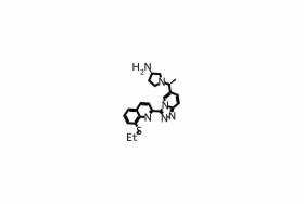 CCSc1cccc2ccc(-c3nnc4ccc([C@H](C)N5CC[C@H](N)C5)cn34)nc12